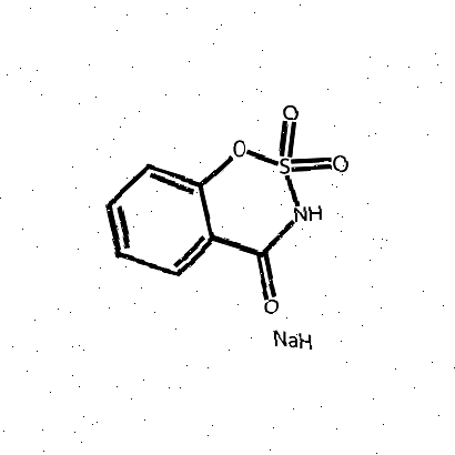 O=C1NS(=O)(=O)Oc2ccccc21.[NaH]